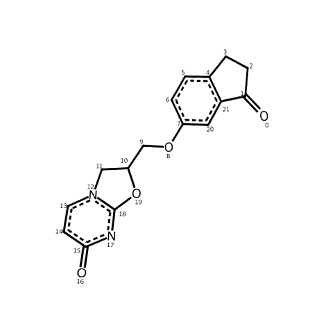 O=C1CCc2ccc(OCC3Cn4ccc(=O)nc4O3)cc21